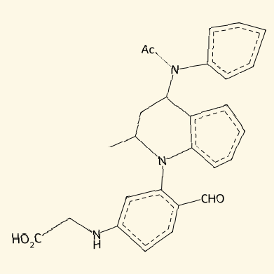 CC(=O)N(c1ccccc1)C1CC(C)N(c2cc(NCC(=O)O)ccc2C=O)c2ccccc21